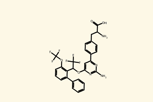 Nc1nc(OC(c2c(OC(F)(F)F)cccc2-c2ccccc2)C(F)(F)F)cc(-c2ccc(CC(N)C(=O)O)cc2)n1